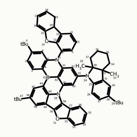 CC(C)(C)c1ccc2c(c1)N(c1cccc3c1OC1=CC=CCC13)c1cc(N3c4ccc(C(C)(C)C)cc4C4(C)CCCCC34C)cc3c1B2c1cc(C(C)(C)C)cc2c4oc5ccccc5c4n-3c12